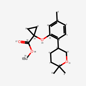 Cc1ccc(C2CCC(C)(C)OC2)c(OC2(C(=O)OC(C)(C)C)CC2)c1